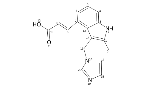 Cc1[nH]c2cccc(C=CC(=O)O)c2c1Cn1ccnc1